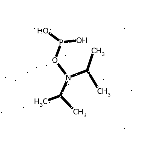 CC(C)N(OP(O)O)C(C)C